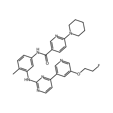 Cc1ccc(NC(=O)c2ccc(N3CCCCC3)nc2)cc1Nc1nccc(-c2cncc(OCCF)c2)n1